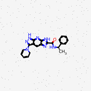 C[C@@H](NC(=O)c1nc2cc3c(N4C=CC=CC4)n[nH]c3nc2[nH]1)c1ccccc1